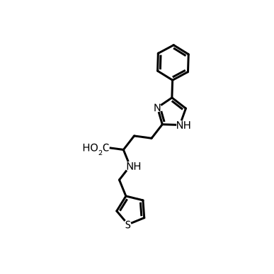 O=C(O)C(CCc1nc(-c2ccccc2)c[nH]1)NCc1ccsc1